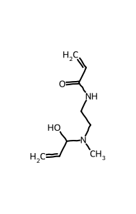 C=CC(=O)NCCN(C)C(O)C=C